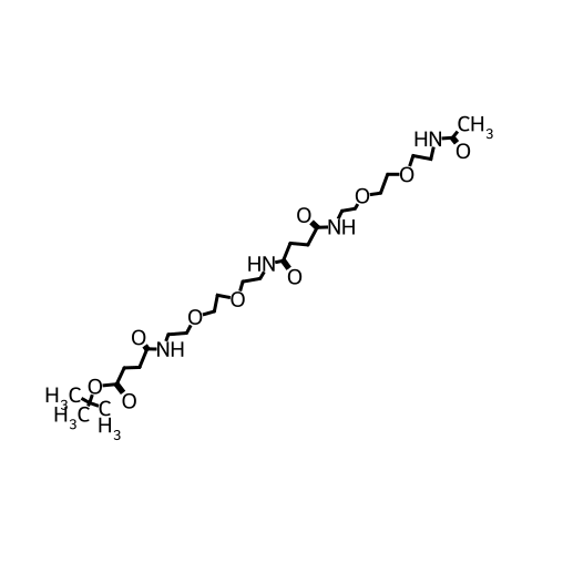 CC(=O)NCCOCCOCCNC(=O)CCC(=O)NCCOCCOCCNC(=O)CCC(=O)OC(C)(C)C